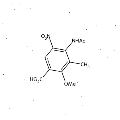 COc1c(C(=O)O)cc([N+](=O)[O-])c(NC(C)=O)c1C